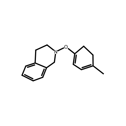 CC1=CC=C(ON2CCc3ccccc3C2)CC1